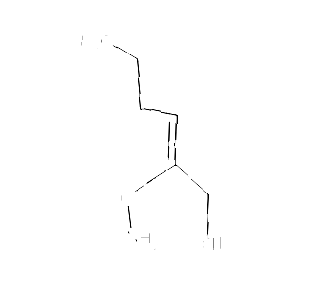 CCC/C=C(/CC)ON